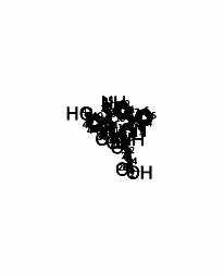 Cc1nc2ccccc2c(-c2ccccc2)c1CC(NC(=O)CCCC(=O)O)C(=O)N(CCCCN)C(=O)c1ccc(O)cc1